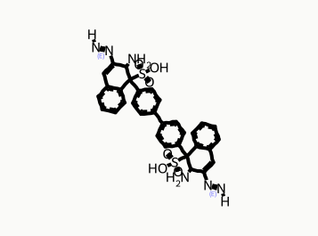 [H]/N=N/C1=Cc2ccccc2C(c2ccc(-c3ccc(C4(S(=O)(=O)O)c5ccccc5C=C(/N=N/[H])C4N)cc3)cc2)(S(=O)(=O)O)C1N